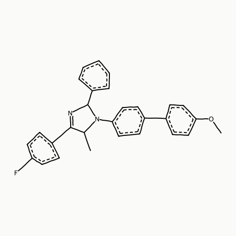 COc1ccc(-c2ccc(N3C(C)C(c4ccc(F)cc4)=NC3c3ccccc3)cc2)cc1